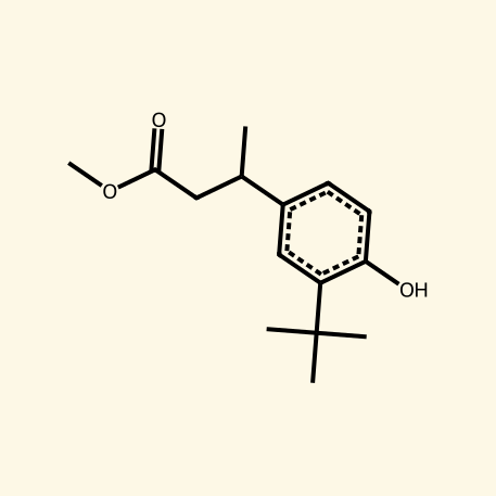 COC(=O)CC(C)c1ccc(O)c(C(C)(C)C)c1